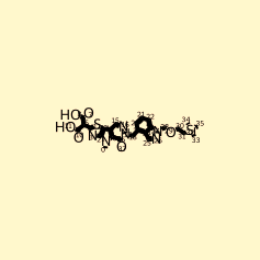 Cn1c2nc(C(C(=O)O)C(=O)O)sc2c2cnn(Cc3cccc4c3cnn4COCC[Si](C)(C)C)c(=O)c21